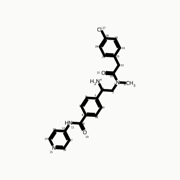 CN(CC(N)c1ccc(C(=O)Nc2ccncc2)cc1)C(=O)Cc1ccc(Cl)cc1